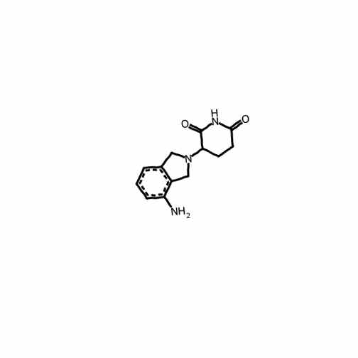 Nc1cccc2c1CN(C1CCC(=O)NC1=O)C2